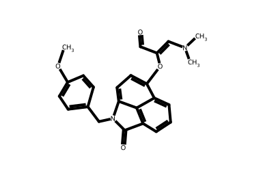 COc1ccc(CN2C(=O)c3cccc4c(O/C(C=O)=C\N(C)C)ccc2c34)cc1